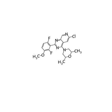 COc1ccc(F)c(-c2nc(N3CC(C)OC(C)C3)c3cc(Cl)ncc3n2)c1F